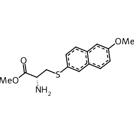 COC(=O)[C@@H](N)CSc1ccc2cc(OC)ccc2c1